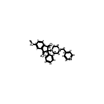 COc1ccc2c(c1)C(=O)C(c1ccccc1)(N1CCN(Cc3ccncc3)CC1)C2=O